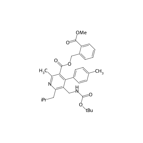 COC(=O)c1ccccc1COC(=O)c1c(C)nc(CC(C)C)c(CNC(=O)OC(C)(C)C)c1-c1ccc(C)cc1